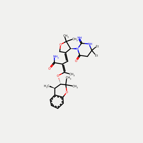 CCC1(CC)CC(=O)N([C@H]2/C(=C/C(C(N)=O)=C(\C)O[C@H]3[C@H](C)c4ccccc4OC3(C)C)COC2(C)C)C(=N)N1